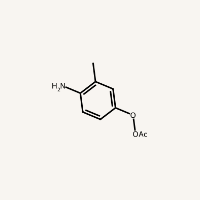 CC(=O)OOc1ccc(N)c(C)c1